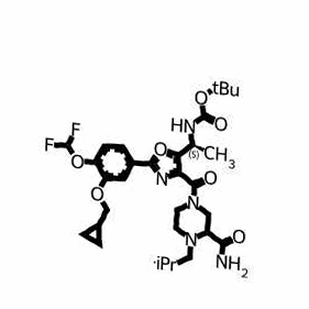 C[C](C)CN1CCN(C(=O)c2nc(-c3ccc(OC(F)F)c(OCC4CC4)c3)oc2[C@H](C)NC(=O)OC(C)(C)C)CC1C(N)=O